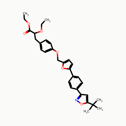 CCOC(=O)C(Cc1ccc(OCc2ccc(-c3ccc(-c4cc(C(C)(C)C)on4)cc3)o2)cc1)OCC